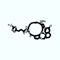 CO[C@H]1/C=C/CCCS(=O)(NC(=O)CCc2nnc(C)s2)=NC(=O)c2ccc3c(c2)N(C[C@@H]2CC[C@H]21)C[C@@]1(CCCc2cc(Cl)ccc21)CO3